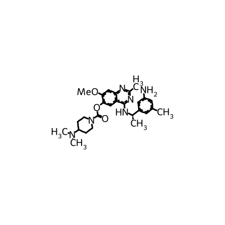 COc1cc2nc(C)nc(N[C@H](C)c3cc(C)cc(N)c3)c2cc1OC(=O)N1CCC(N(C)C)CC1